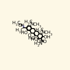 CO/N=C(\C)c1cc(N(C)C)c2c(c1O)C(=O)C1=C(O)C3C(CC1C2)[C@H](N(C)C)C(O)=C(C(N)=O)C3(O)O